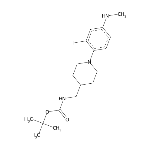 CNc1ccc(N2CCC(CNC(=O)OC(C)(C)C)CC2)c(I)c1